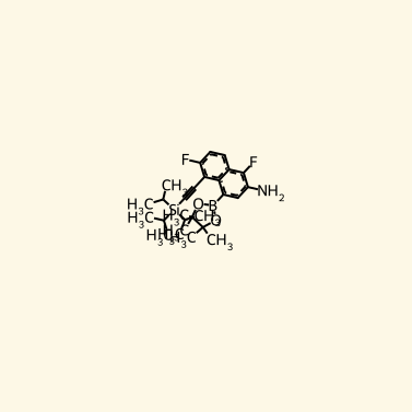 CC(C)[Si](C#Cc1c(F)ccc2c(F)c(N)cc(B3OC(C)(C)C(C)(C)O3)c12)(C(C)C)C(C)C